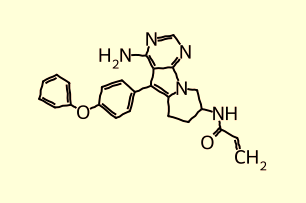 C=CC(=O)NC1CCc2c(-c3ccc(Oc4ccccc4)cc3)c3c(N)ncnc3n2C1